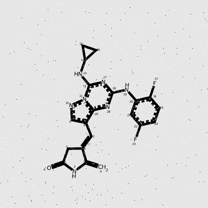 C=C1NC(=O)C/C1=C\c1cnn2c(NC3CC3)nc(Nc3cc(F)ccc3F)nc12